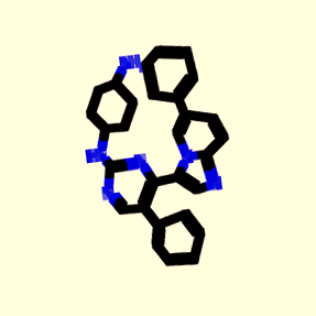 NC1CCC(Nc2ncc(-c3ccccc3)c(-c3cnc4ccc(-c5ccccc5)cn34)n2)CC1